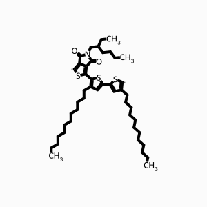 CCCCCCCCCCCCc1[c]sc(-c2cc(CCCCCCCCCCCC)c(-c3s[c]c4c3C(=O)N(CC(CC)CCCC)C4=O)s2)c1